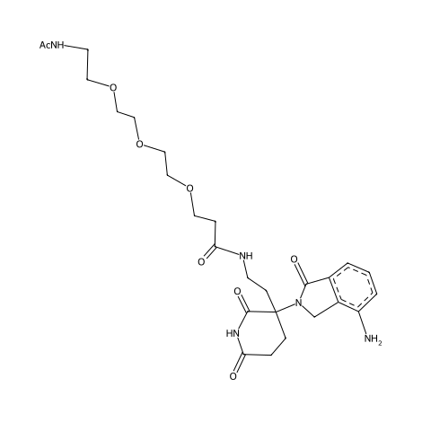 CC(=O)NCCOCCOCCOCCC(=O)NCCC1(N2Cc3c(N)cccc3C2=O)CCC(=O)NC1=O